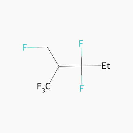 CCC(F)(F)C(CF)C(F)(F)F